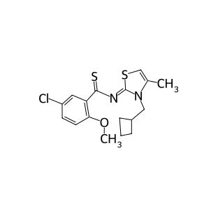 COc1ccc(Cl)cc1C(=S)N=c1scc(C)n1CC1CCC1